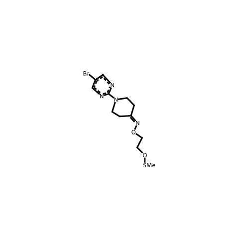 CSOCCON=C1CCN(c2ncc(Br)cn2)CC1